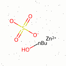 CCCCO.O=S(=O)([O-])[O-].[Zn+2]